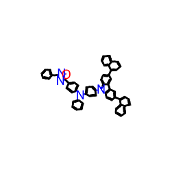 c1ccc(-c2noc(-c3ccc(N(c4ccccc4)c4ccc(-n5c6ccc(-c7cccc8ccccc78)cc6c6cc(-c7cccc8ccccc78)ccc65)cc4)cc3)n2)cc1